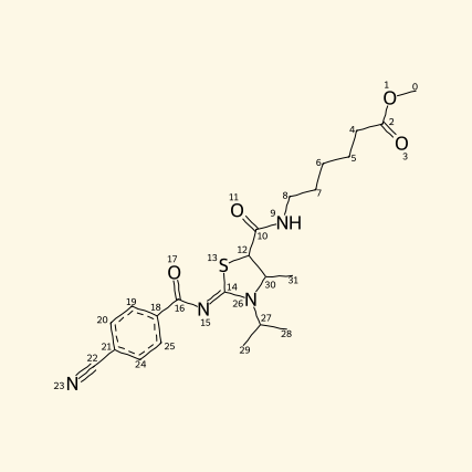 COC(=O)CCCCCNC(=O)C1SC(=NC(=O)c2ccc(C#N)cc2)N(C(C)C)C1C